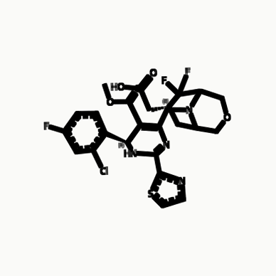 COC(=O)C1=C(CN2C3COCC2C(F)(F)[C@@H](CC(=O)O)C3)N=C(c2nccs2)N[C@H]1c1ccc(F)cc1Cl